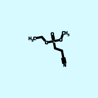 CCOP(=O)(CCC#N)OC